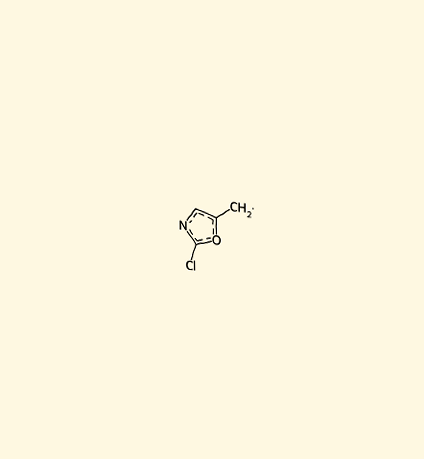 [CH2]c1cnc(Cl)o1